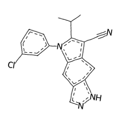 CC(C)c1c(C#N)c2cc3[nH]ncc3cc2n1-c1cccc(Cl)c1